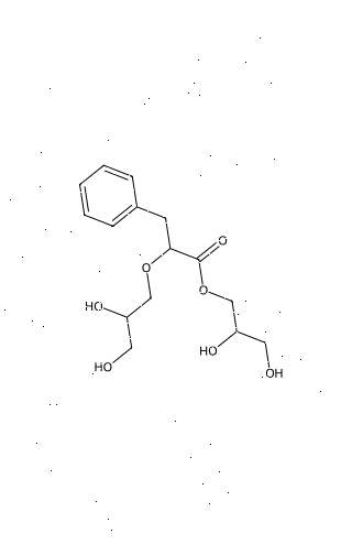 O=C(OCC(O)CO)C(Cc1ccccc1)OCC(O)CO